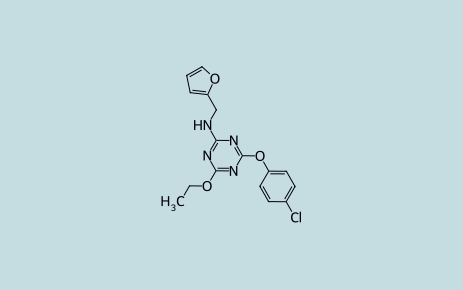 CCOc1nc(NCc2ccco2)nc(Oc2ccc(Cl)cc2)n1